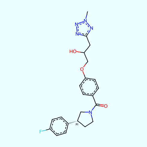 Cn1nnc(CC(O)COc2ccc(C(=O)N3CC[C@H](c4ccc(F)cc4)C3)cc2)n1